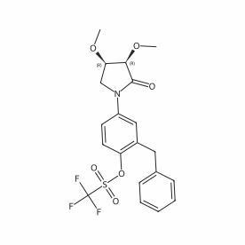 CO[C@@H]1CN(c2ccc(OS(=O)(=O)C(F)(F)F)c(Cc3ccccc3)c2)C(=O)[C@@H]1OC